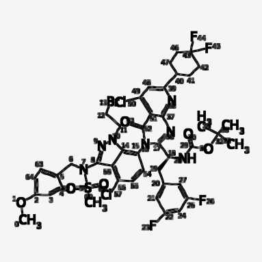 COc1ccc(CN(c2nn(CCBr)c3c(-n4c([C@H](Cc5cc(F)cc(F)c5)NC(=O)OC(C)(C)C)nc5nc(C6CCC(F)(F)CC6)cc(Cl)c5c4=O)ccc(Cl)c23)S(C)(=O)=O)cc1